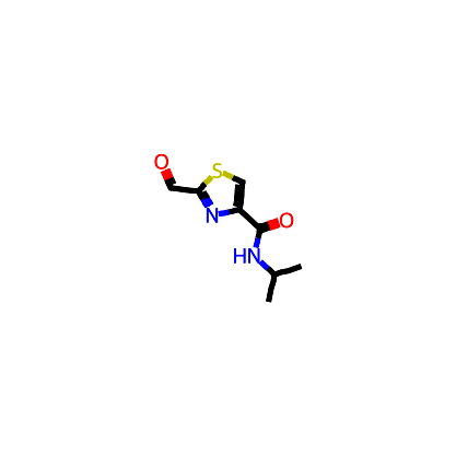 CC(C)NC(=O)c1csc(C=O)n1